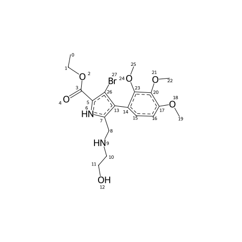 CCOC(=O)c1[nH]c(CNCCO)c(-c2ccc(OC)c(OC)c2OC)c1Br